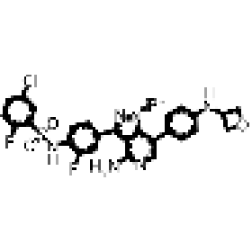 CC(C)n1nc(-c2ccc(NS(=O)(=O)c3cc(Cl)ccc3F)c(F)c2)c2c(N)ncc(-c3ccc(NC4COC4)cc3)c21